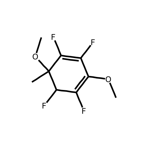 COC1=C(F)C(F)C(C)(OC)C(F)=C1F